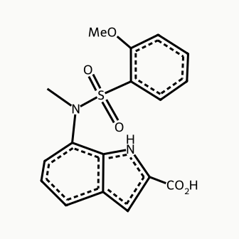 COc1ccccc1S(=O)(=O)N(C)c1cccc2cc(C(=O)O)[nH]c12